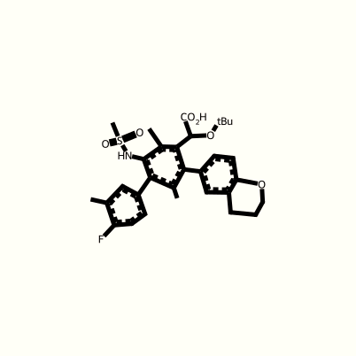 Cc1cc(-c2c(C)c(-c3ccc4c(c3)CCCO4)c(C(OC(C)(C)C)C(=O)O)c(C)c2NS(C)(=O)=O)ccc1F